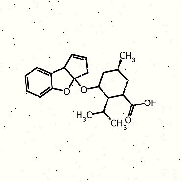 CC(C)[C@H]1C(OC23CC=CC2c2ccccc2O3)C[C@@H](C)CC1C(=O)O